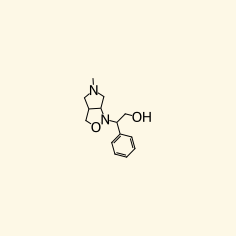 CN1CC2CON(C(CO)c3ccccc3)C2C1